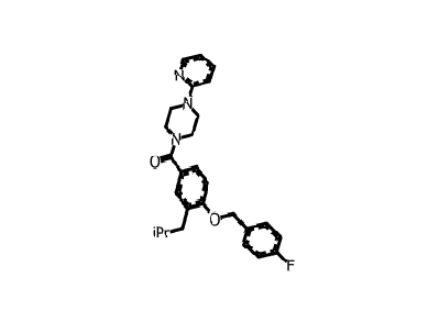 CC(C)Cc1cc(C(=O)N2CCN(c3ccccn3)CC2)ccc1OCc1ccc(F)cc1